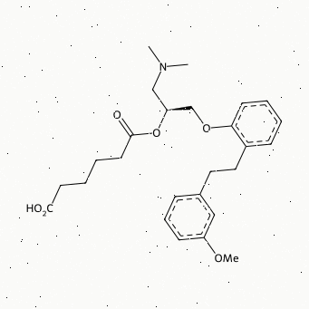 COc1cccc(CCc2ccccc2OC[C@H](CN(C)C)OC(=O)CCCCC(=O)O)c1